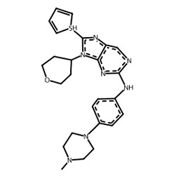 CN1CCN(c2ccc(Nc3ncc4nc([SH]5C=CC=C5)n(C5CCOCC5)c4n3)cc2)CC1